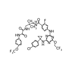 CC(C)(CNC(=O)C(=O)Nc1ccc(OC(F)(F)F)cc1)CNC(=O)c1ccc(Nc2nc(NC3(c4ccc(Cl)cc4)CC3)nc(OCC(F)(F)F)n2)cc1F